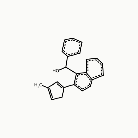 CC1=CCC(c2ccc3ccccc3c2C(O)c2ccccc2)=C1